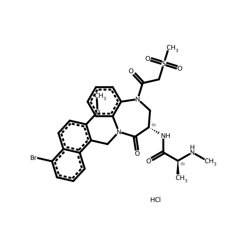 CN[C@@H](C)C(=O)N[C@H]1CN(C(=O)CS(C)(=O)=O)c2ccccc2N(Cc2c(OC)ccc3c(Br)cccc23)C1=O.Cl